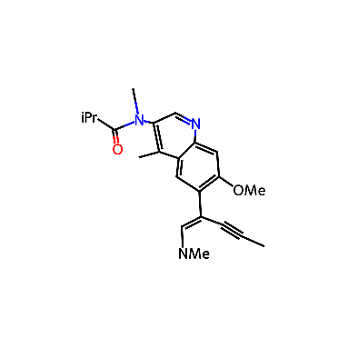 CC#C/C(=C\NC)c1cc2c(C)c(N(C)C(=O)C(C)C)cnc2cc1OC